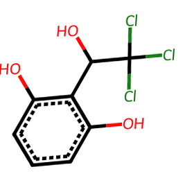 Oc1cccc(O)c1C(O)C(Cl)(Cl)Cl